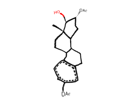 CC(=O)Oc1ccc2c(c1)CCC1C2CC[C@@]2(C)C1C[C@@H](OC(C)=O)[C@@H]2O